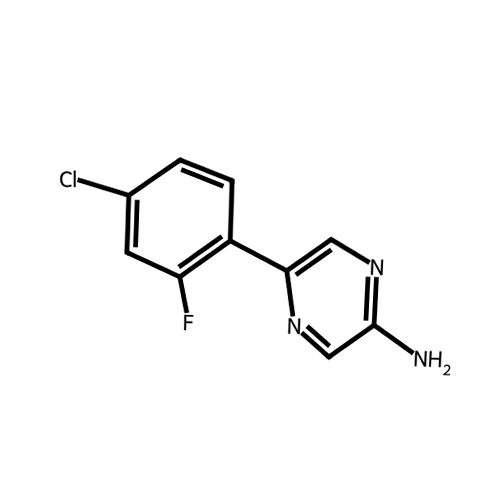 Nc1cnc(-c2ccc(Cl)cc2F)cn1